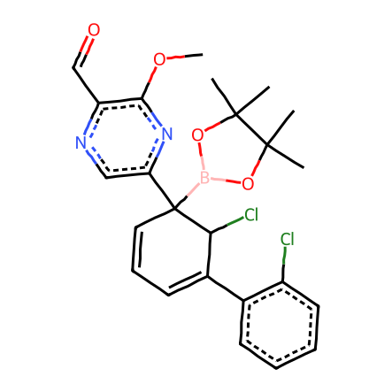 COc1nc(C2(B3OC(C)(C)C(C)(C)O3)C=CC=C(c3ccccc3Cl)C2Cl)cnc1C=O